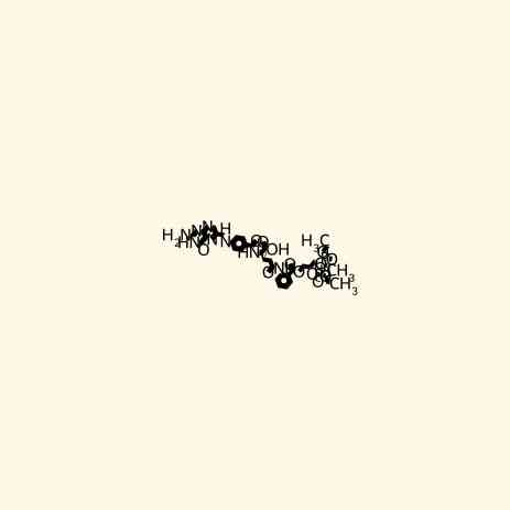 CCO[PH](=O)OCC(COC(=O)c1ccccc1NC(=O)CC[C@@H](NC(=O)c1ccc(NCc2cnc3nc(N)[nH]c(=O)c3n2)cc1)C(=O)O)OP(=O)(OCC)OCC